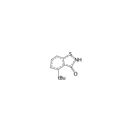 CC(C)(C)c1cccc2s[nH]c(=O)c12